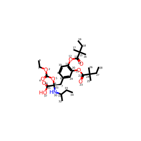 CCOC(=O)O[C@](Cc1ccc(OC(=O)C(C)(C)CC)c(OC(=O)C(C)(C)CC)c1)(NC(C)CC)C(=O)O